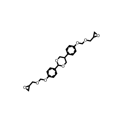 c1cc(C2COC(c3ccc(OCOCC4CO4)cc3)OC2)ccc1OCOCC1CO1